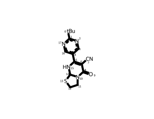 CC(C)(C)c1ncc(C2=C(C#N)C(=O)N3CCSC3N2)cn1